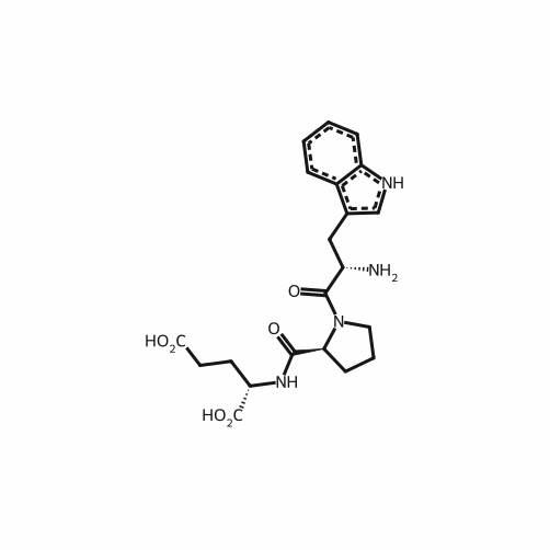 N[C@@H](Cc1c[nH]c2ccccc12)C(=O)N1CCC[C@H]1C(=O)N[C@@H](CCC(=O)O)C(=O)O